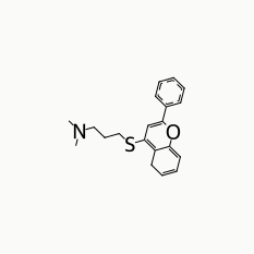 CN(C)CCCSC1=C2CC=CC=C2OC(c2ccccc2)=C1